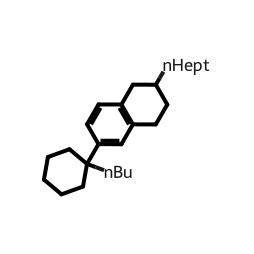 CCCCCCCC1CCc2cc(C3(CCCC)CCCCC3)ccc2C1